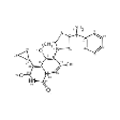 COc1c(N2CCC(C(N)c3ccccc3)C2)c(F)cn2c(=O)[nH]c(=O)c(C3CC3)c12